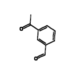 CC(=O)c1cccc(C=O)c1